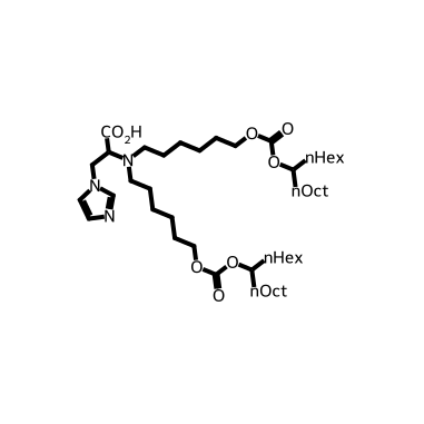 CCCCCCCCC(CCCCCC)OC(=O)OCCCCCCN(CCCCCCOC(=O)OC(CCCCCC)CCCCCCCC)C(Cn1ccnc1)C(=O)O